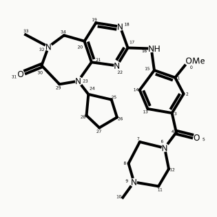 COc1cc(C(=O)N2CCN(C)CC2)ccc1Nc1ncc2c(n1)N(C1CCCC1)CC(=O)N(C)C2